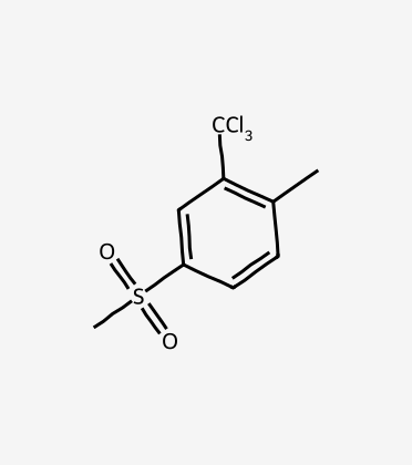 Cc1ccc(S(C)(=O)=O)cc1C(Cl)(Cl)Cl